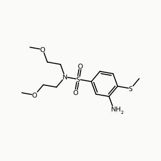 COCCN(CCOC)S(=O)(=O)c1ccc(SC)c(N)c1